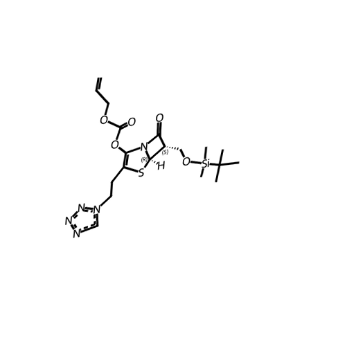 C=CCOC(=O)OC1=C(CCn2cnnn2)S[C@@H]2[C@@H](CO[Si](C)(C)C(C)(C)C)C(=O)N12